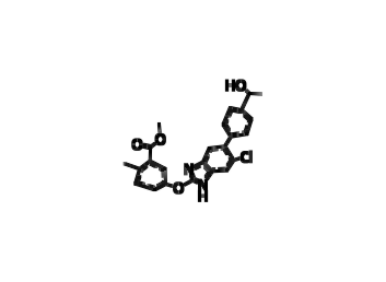 COC(=O)c1cc(Oc2nc3cc(-c4ccc(C(C)O)cc4)c(Cl)cc3[nH]2)ccc1C